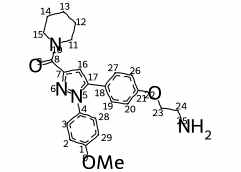 COc1ccc(-n2nc(C(=O)N3CCCCC3)cc2-c2ccc(OCCN)cc2)cc1